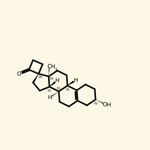 C[C@]12CC[C@@H]3C4=C(CC[C@H]3[C@@H]1CC[C@@]21CCC1=O)C[C@@H](O)CC4